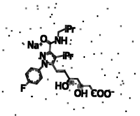 CC(C)CNC(=O)c1nn(-c2ccc(F)cc2)c(C=C[C@H](O)C[C@@H](O)CC(=O)[O-])c1C(C)C.[Na+]